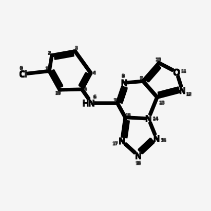 Clc1cccc(Nc2nc3conc3n3nnnc23)c1